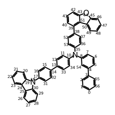 c1ccc(-c2cccc(N(c3ccc(-c4ccc(-n5c6ccccc6c6ccccc65)cc4)cc3)c3ccc(-c4cccc5oc6ccccc6c45)cc3)c2)cc1